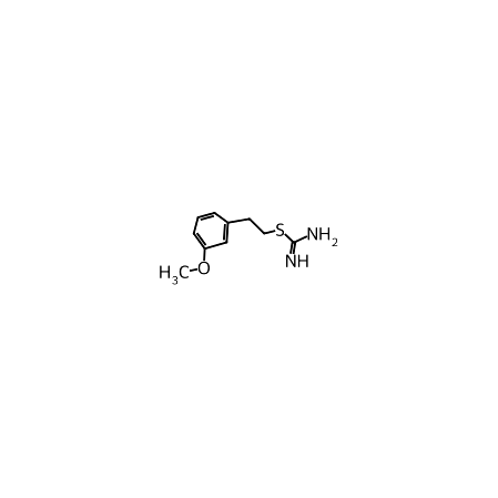 COc1cccc(CCSC(=N)N)c1